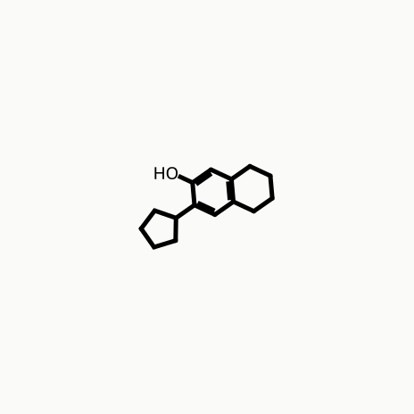 Oc1cc2c(cc1C1CCCC1)CCCC2